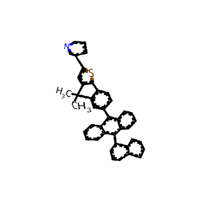 CC1(C)c2cc(-c3c4ccccc4c(-c4cccc5ccccc45)c4ccccc34)ccc2-c2sc(-c3cccnc3)cc21